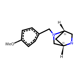 COc1ccc(CN2C[C@@H]3C[C@H]2C[N]3)cc1